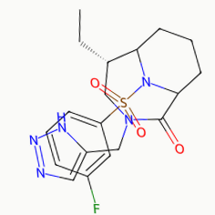 CC[C@H]1CN(Cc2cnn[nH]2)C(=O)C2CCCC1N2S(=O)(=O)c1cccc(F)c1